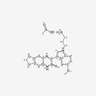 CC(=O)O.COc1ccc2c(c1)c(-c1nc3cc4c(cc3[nH]c1=O)OCO4)cn2CCCN